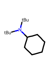 CC(C)(C)N(C1CCCCC1)C(C)(C)C